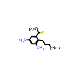 CCCCCCCCCCCCc1c(N)cc(N)cc1C(=S)OC